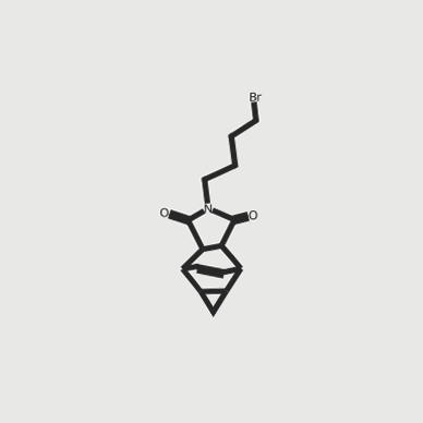 O=C1C2C3C=CC(C4CC34)C2C(=O)N1CCCCBr